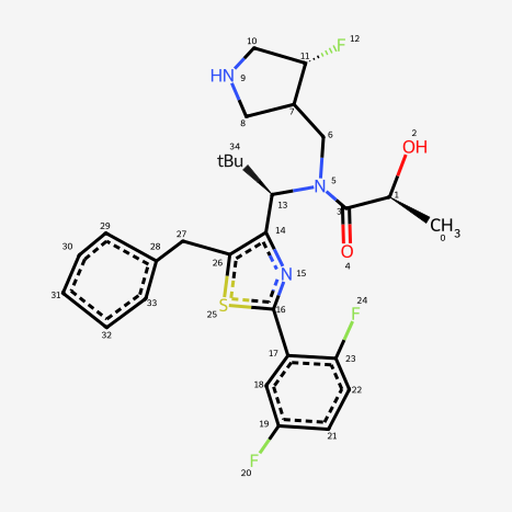 C[C@H](O)C(=O)N(CC1CNC[C@@H]1F)[C@@H](c1nc(-c2cc(F)ccc2F)sc1Cc1ccccc1)C(C)(C)C